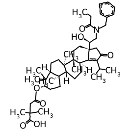 CCC(=O)N(Cc1ccccc1)C[C@H](O)[C@@]12CC[C@]3(C)[C@H](CC[C@@H]4[C@@]5(C)CC[C@H](OC(=O)CC(C)(C)C(=O)O)C(C)(C)[C@H]5CC[C@]43C)C1=C(C(C)C)C(=O)C2